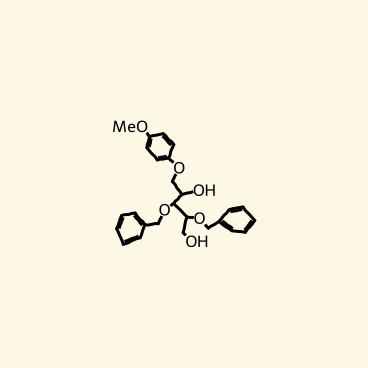 COc1ccc(OCC(O)C(OCc2ccccc2)C(CO)OCc2ccccc2)cc1